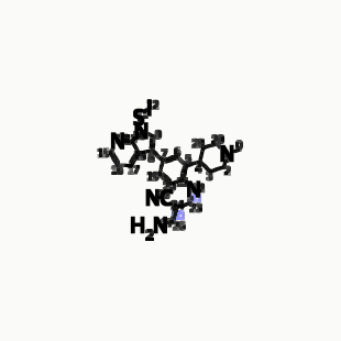 CN1CCC(c2cc(-c3cn(SI)c4ncccc34)ccc2/N=C\C(C#N)=C\N)CC1